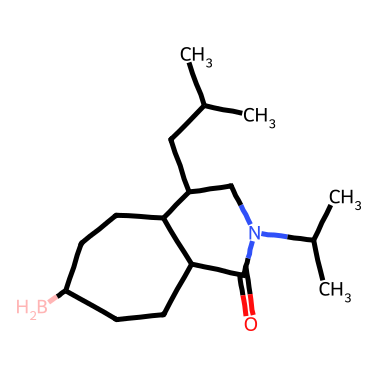 BC1CCC2C(=O)N(C(C)C)CC(CC(C)C)C2CC1